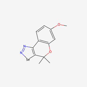 COc1ccc2c(c1)OC(C)(C)c1[se]nnc1-2